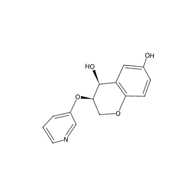 Oc1ccc2c(c1)[C@H](O)[C@H](Oc1cccnc1)CO2